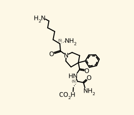 NCCCC[C@H](N)C(=O)N1CCC(C(=O)N[C@@H](CC(=O)O)C(N)=O)(c2ccccc2)CC1